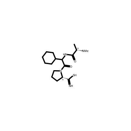 CN[C@@H](C)C(=O)NC(C(=O)N1CCC[C@H]1C(=N)S)C1CCCCC1